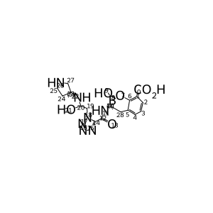 O=C(O)c1cccc2c1OB(O)[C@@H](NC(=O)c1nnnn1CC(O)N[C@H]1CCNC1)C2